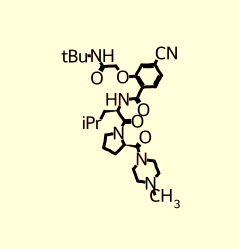 CC(C)C[C@@H](NC(=O)c1ccc(C#N)cc1OCC(=O)NC(C)(C)C)C(=O)N1CCC[C@@H]1C(=O)N1CCN(C)CC1